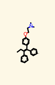 CCC(=C(c1cc[c]cc1)c1ccc(OCCN(C)C)cc1)c1ccccc1